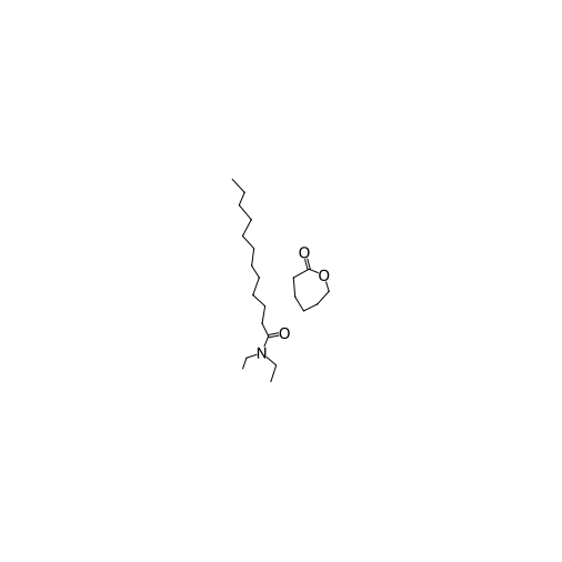 CCCCCCCCCCCC(=O)N(CC)CC.O=C1CCCCCO1